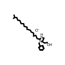 CC(C)CCCCCCCCCCCCCCC1=[N+](Cc2ccccc2)C(CCO)CN1.[Cl-]